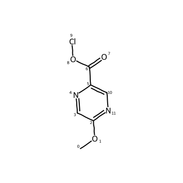 COc1cnc(C(=O)OCl)cn1